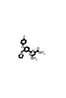 NC(=O)c1cc(N)nc(-c2ccc(Oc3ccc(F)cc3)c(CN3CCCC3)c2)n1